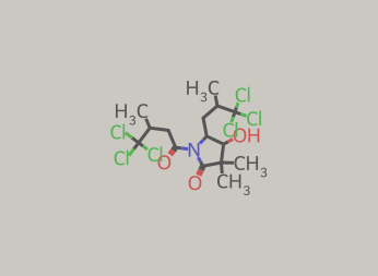 CC(CC(=O)N1C(=O)C(C)(C)C(O)C1CC(C)C(Cl)(Cl)Cl)C(Cl)(Cl)Cl